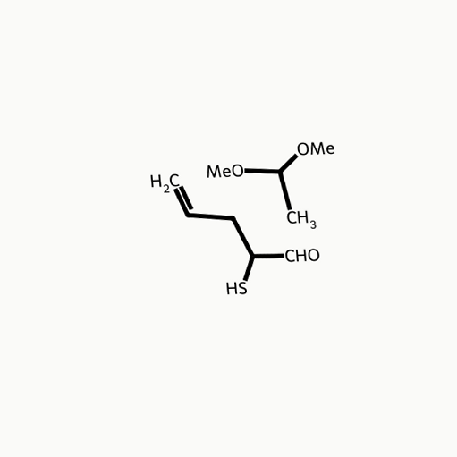 C=CCC(S)C=O.COC(C)OC